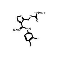 CC(C)NC(=O)OCc1nonc1/C(=N\O)Nc1ccc(F)c(Cl)c1